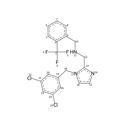 FC(F)(F)c1ccccc1CNCc1nccn1Cc1cc(Cl)cc(Cl)c1